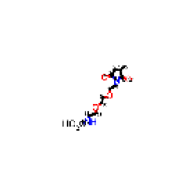 CC1CC(=O)N(CCOCCOCCNC(=O)O)C1=O